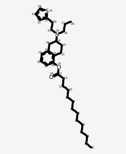 CCCCCCCCCCCCCC(=O)Oc1cccc2c1CCC(N(CCC)CCc1cccs1)C2